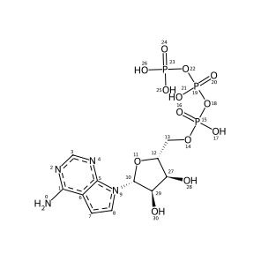 Nc1ncnc2c1ccn2[C@@H]1O[C@H](COP(=O)(O)OP(=O)(O)OP(=O)(O)O)[C@@H](O)[C@H]1O